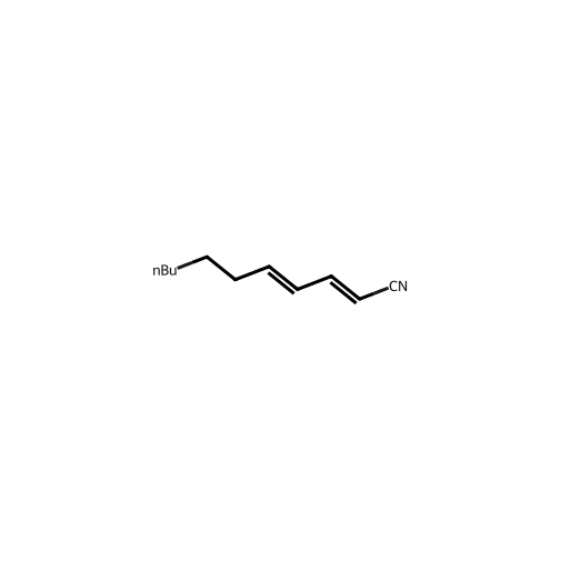 CCCCCCC=CC=CC#N